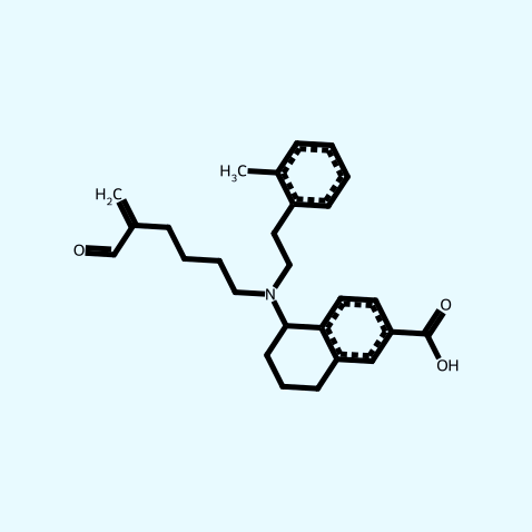 C=C(C=O)CCCCN(CCc1ccccc1C)C1CCCc2cc(C(=O)O)ccc21